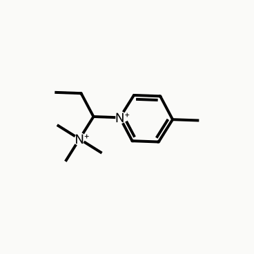 CCC([n+]1ccc(C)cc1)[N+](C)(C)C